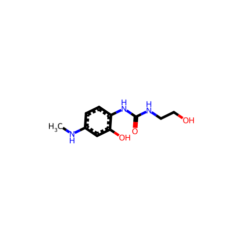 CNc1ccc(NC(=O)NCCO)c(O)c1